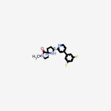 CN1CC[C@@]2(CC[C@H](c3cc(-c4cc(F)cc(F)c4)ccn3)N2)C1=O